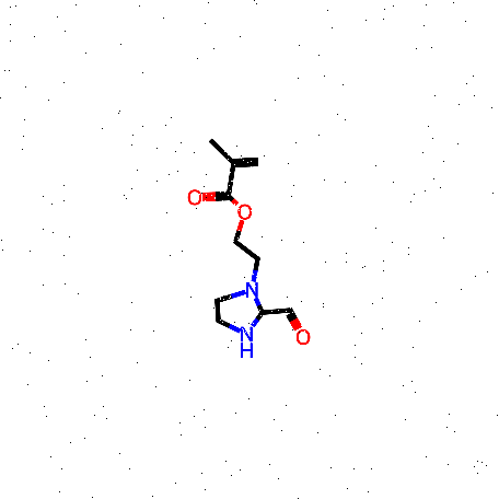 C=C(C)C(=O)OCCN1CCNC1C=O